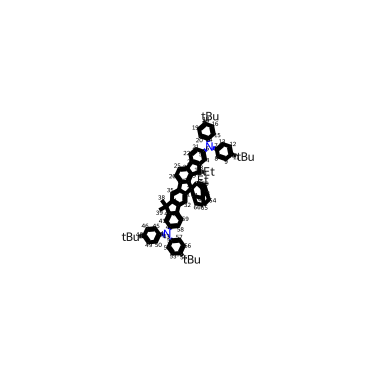 CCC1(CC)c2cc(N(c3ccc(C(C)(C)C)cc3)c3ccc(C(C)(C)C)cc3)ccc2-c2ccc3c(c21)C1(c2cc4c(cc2-3)C(C)(C)c2cc(N(c3ccc(C(C)(C)C)cc3)c3ccc(C(C)(C)C)cc3)ccc2-4)C2CC3CC(C2)CC1C3